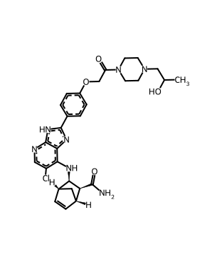 CC(O)CN1CCN(C(=O)COc2ccc(-c3nc4c(N[C@H]5[C@@H](C(N)=O)[C@@H]6C=C[C@H]5C6)c(Cl)cnc4[nH]3)cc2)CC1